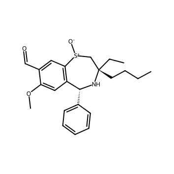 CCCC[C@]1(CC)C[S+]([O-])c2cc(C=O)c(OC)cc2[C@@H](c2ccccc2)N1